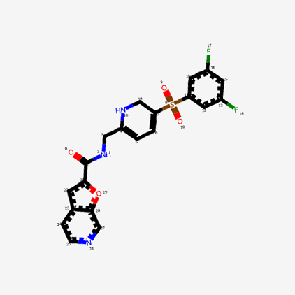 O=C(NCC1=CC=C(S(=O)(=O)c2cc(F)cc(F)c2)CN1)c1cc2ccncc2o1